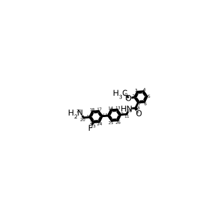 COc1ccccc1C(=O)NCc1ccc(-c2ccc(CN)c(F)c2)cc1